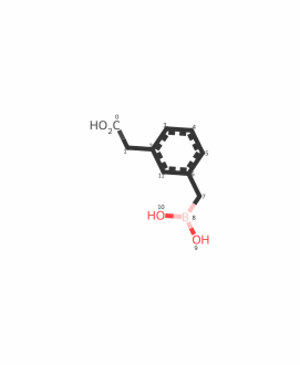 O=C(O)Cc1cccc(CB(O)O)c1